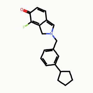 O=C1C=CC2=CN(Cc3cc[c]c(C4CCCC4)c3)CC2=C1F